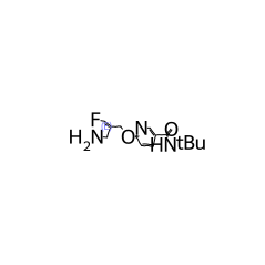 CC(C)(C)NC(=O)c1ccc(OC/C(=C/F)CN)nc1